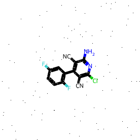 N#Cc1c(N)nc(Cl)c(C#N)c1-c1cc(F)ccc1F